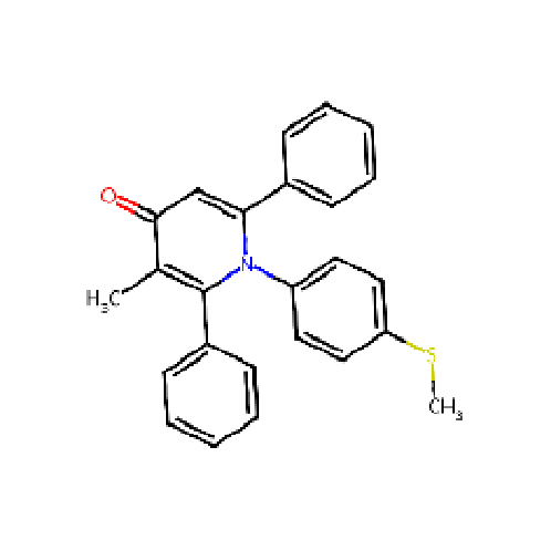 CSc1ccc(-n2c(-c3ccccc3)cc(=O)c(C)c2-c2ccccc2)cc1